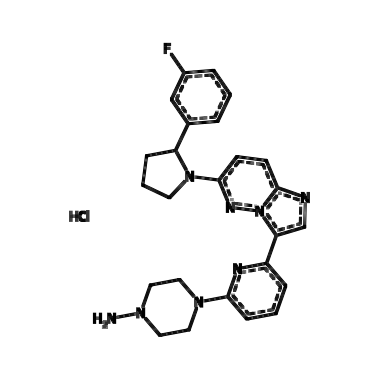 Cl.NN1CCN(c2cccc(-c3cnc4ccc(N5CCCC5c5cccc(F)c5)nn34)n2)CC1